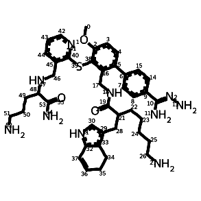 COc1ccc(-c2ccc(/C(N)=N/N)cc2)c(CNC(=O)C(CCCCCN)Cc2c[nH]c3c2CCC=C3)c1Sc1ncccc1CNC(CCCN)C(N)=O